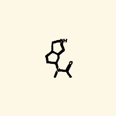 CC(=O)N(C)C1CCC2CNCC21